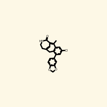 CC1=C2C=C(CCNC2=O)Cc2c1cc(Cl)cc2-c1ccc2c(c1)OCO2